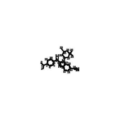 CC(C)c1ccc(Nc2nc3ccc(C#N)cc3n2[C@H]2C[C@@H](C)CC(C)(C)C2)cc1